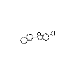 Clc1ccc2cc(-c3ccc4ccccc4c3)oc2c1